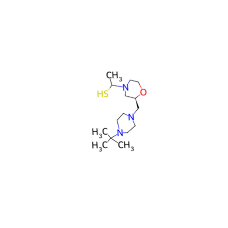 CC(S)N1CCO[C@@H](CN2CCN(C(C)(C)C)CC2)C1